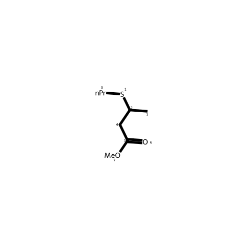 CCCSC(C)CC(=O)OC